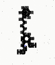 O/N=C/c1nc(CCCCC[N+]23CCC(CC2)CC3)ccc1O